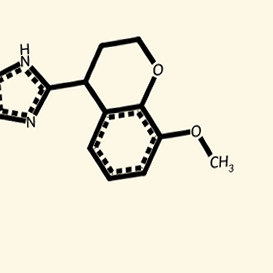 COc1cccc2c1OCCC2c1ncc[nH]1